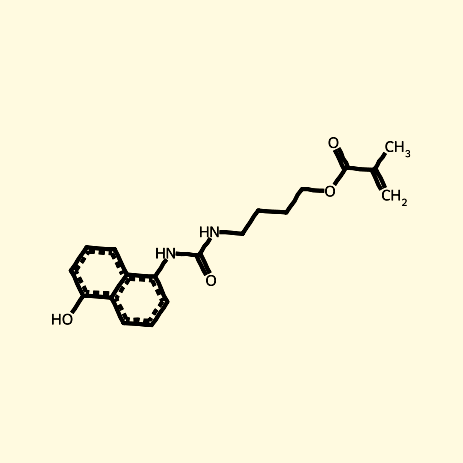 C=C(C)C(=O)OCCCCNC(=O)Nc1cccc2c(O)cccc12